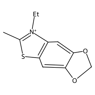 CC[n+]1c(C)sc2cc3c(cc21)OCO3